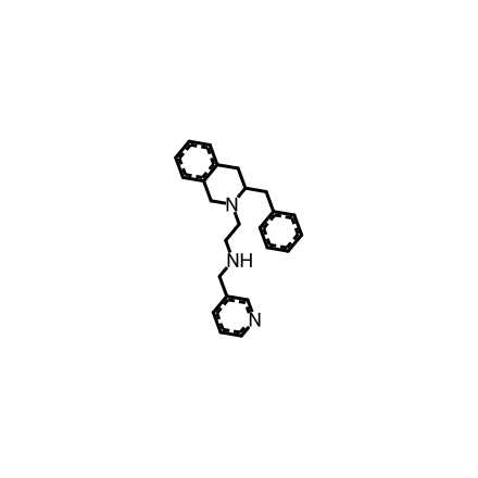 c1ccc(CC2Cc3ccccc3CN2CCNCc2cccnc2)cc1